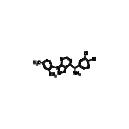 Cc1ccc(-n2ncc3c(C(N)c4ccc(Cl)c(Cl)c4)ncnc32)c(C)c1